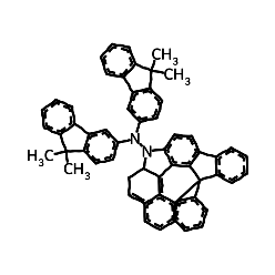 CC1(C)c2ccccc2-c2cc(N(c3ccc4c(c3)-c3ccccc3C4(C)C)N3c4ccc5c6c4C4=c7c(cccc7=CCC43)C6(c3ccccc3)c3ccccc3-5)ccc21